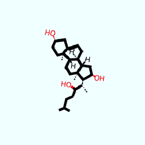 CC(C)CCC(O)[C@@H](C)[C@H]1[C@@H](O)C[C@H]2[C@@H]3CC=C4C[C@@H](O)CC[C@]4(C)[C@H]3CC[C@]12C